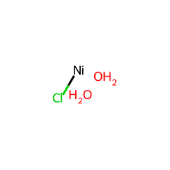 O.O.[Cl][Ni]